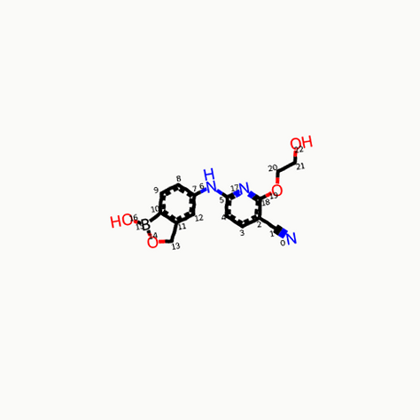 N#Cc1ccc(Nc2ccc3c(c2)COB3O)nc1OCCO